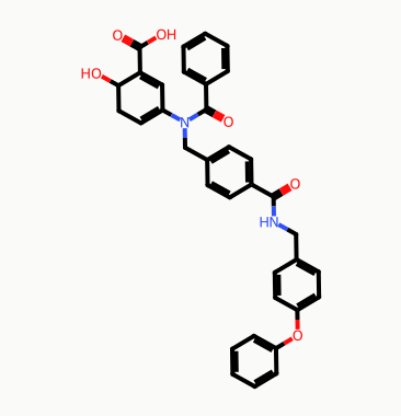 O=C(O)C1=CC(N(Cc2ccc(C(=O)NCc3ccc(Oc4ccccc4)cc3)cc2)C(=O)c2ccccc2)=CCC1O